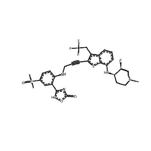 CN1CC[C@@H](Nc2cccc3c(CC(F)(F)F)c(C#CCNc4ccc(P(C)(C)=O)cc4-c4nc(=O)o[nH]4)sc23)[C@@H](F)C1